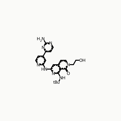 CC(C)(C)Nc1nc(Nc2cc(-c3ccnc(N)n3)ccn2)cc2ccn(CCO)c(=O)c12